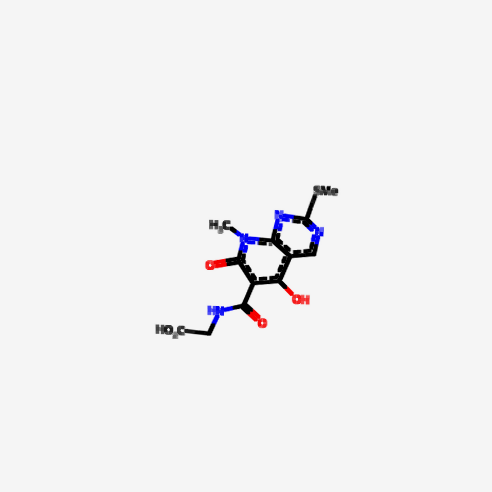 CSc1ncc2c(O)c(C(=O)NCC(=O)O)c(=O)n(C)c2n1